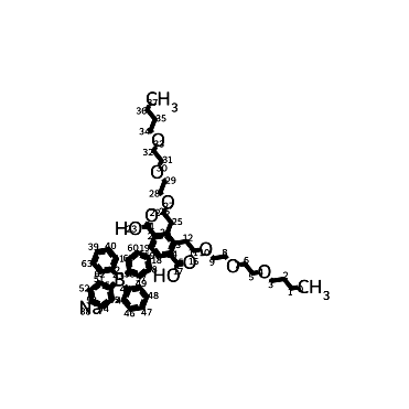 CCCCOCCOCCOCCc1c(C(=O)O)ccc(C(=O)O)c1CCOCCOCCOCCCC.[Na+].c1ccc([B-](c2ccccc2)(c2ccccc2)c2ccccc2)cc1